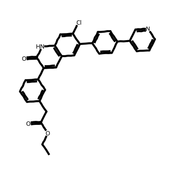 CCOC(=O)Cc1cccc(-c2cc3cc(-c4ccc(-c5cccnc5)cc4)c(Cl)cc3[nH]c2=O)c1